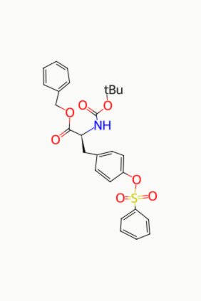 CC(C)(C)OC(=O)N[C@@H](Cc1ccc(OS(=O)(=O)c2ccccc2)cc1)C(=O)OCc1ccccc1